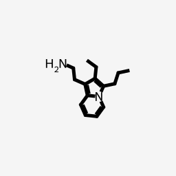 CCCc1c(CC)c(CCN)c2ccccn12